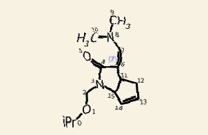 CC(C)OCN1C(=O)/C(=C\N(C)C)C2CC=CC21